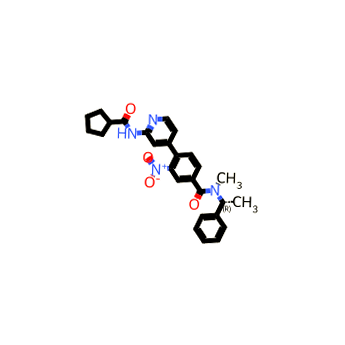 C[C@H](c1ccccc1)N(C)C(=O)c1ccc(-c2ccnc(NC(=O)C3CCCC3)c2)c([N+](=O)[O-])c1